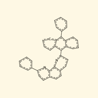 c1ccc(-c2ccc3ccc4ccc(-c5c6ccccc6c(-c6ccccc6)c6ccccc56)nc4c3n2)cc1